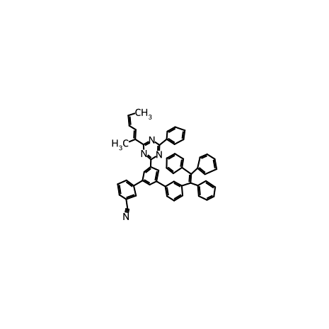 C/C=C\C=C(/C)c1nc(-c2ccccc2)nc(-c2cc(-c3cccc(C#N)c3)cc(-c3cccc(C(=C(c4ccccc4)c4ccccc4)c4ccccc4)c3)c2)n1